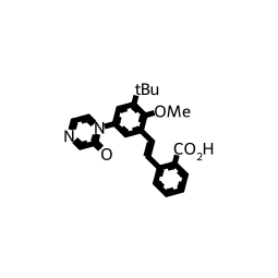 COc1c(C=Cc2ccccc2C(=O)O)cc(-n2ccncc2=O)cc1C(C)(C)C